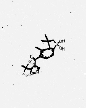 CCC(C)(c1[nH]ncc1C(=O)c1ccc2c(c1C)C(C)(C)CS2(O)O)S(=O)(=O)O